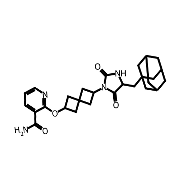 NC(=O)c1cccnc1OC1CC2(C1)CC(N1C(=O)NC(CC34CC5CC(CC(C5)C3)C4)C1=O)C2